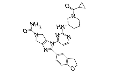 NC(=O)N1Cc2nc(-c3ccc4c(c3)CCO4)n(-c3ccnc(N[C@H]4CCCN(C(=O)C5CC5)C4)n3)c2C1